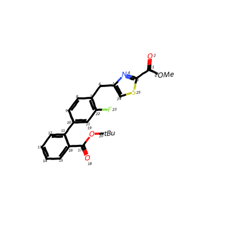 COC(=O)c1nc(Cc2ccc(-c3ccccc3C(=O)OC(C)(C)C)cc2F)cs1